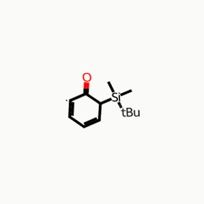 CC(C)(C)[Si](C)(C)C1C=CC=[C]C1=O